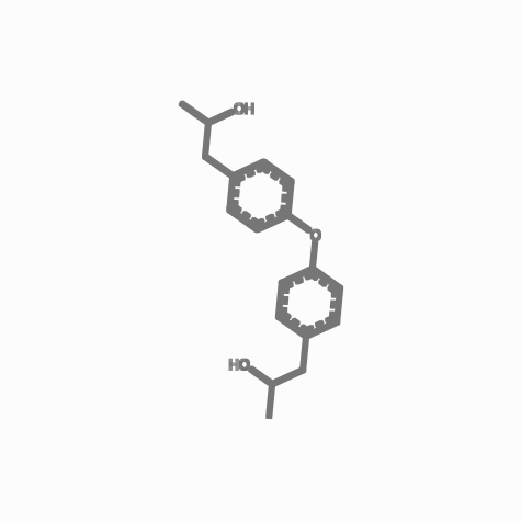 CC(O)Cc1ccc(Oc2ccc(CC(C)O)cc2)cc1